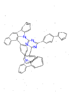 c1ccc(-c2ccc(-c3nc(-c4ccccc4)nc(-n4c5ccccc5c5cc6ccccc6c(-c6ccc(-n7c8ccccc8c8ccccc87)cc6)c54)n3)cc2)cc1